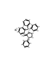 O=C1[C@H]([P+](c2ccccc2)(c2ccccc2)c2ccccc2)CCN1c1ccccc1.[Br-]